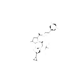 CC(C)(C)[C@@H](C(=O)N1CC(O)CC1C(=O)NCCc1cncnc1)n1cc(C2CC2)nn1